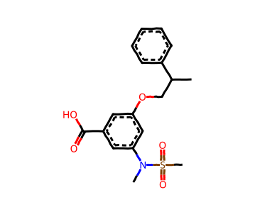 CC(COc1cc(C(=O)O)cc(N(C)S(C)(=O)=O)c1)c1ccccc1